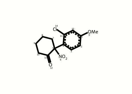 COc1ccc(C2([N+](=O)[O-])CCCCC2=O)c(Cl)c1